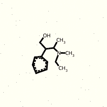 CCN(C)C(C)C(CO)c1ccccc1